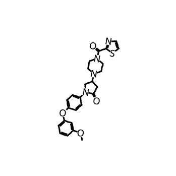 COc1cccc(Oc2ccc(N3CC(N4CCN(C(=O)c5nccs5)CC4)CC3=O)cc2)c1